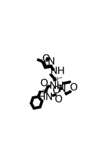 Cc1cc(NC[C@H](C)NC(=O)[C@H](CC2CCCCC2)NC(=O)ON2CCOCC2)no1